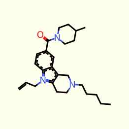 C=CCn1c2c(c3cc(C(=O)N4CCC(C)CC4)ccc31)CN(CCCCC)CC2